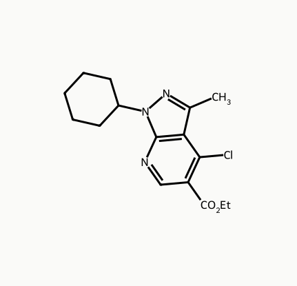 CCOC(=O)c1cnc2c(c(C)nn2C2CCCCC2)c1Cl